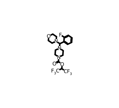 O=C(OC(C(F)(F)F)C(F)(F)F)N1CCN(C(c2ccccc2F)N2CCOCC2)CC1